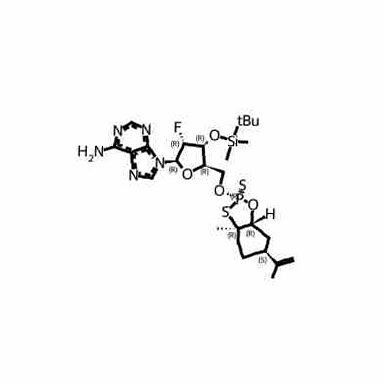 C=C(C)[C@H]1CC[C@@]2(C)S[P@](=S)(OC[C@H]3O[C@@H](n4cnc5c(N)ncnc54)[C@H](F)[C@@H]3O[Si](C)(C)C(C)(C)C)O[C@@H]2C1